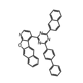 c1ccc(-c2ccc(-c3nc(-c4ccc5ccccc5c4)nc(-c4ccnc5oc6cc7ccccc7cc6c45)n3)cc2)cc1